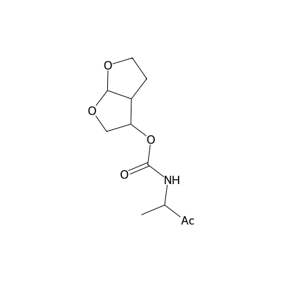 CC(=O)C(C)NC(=O)OC1COC2OCCC12